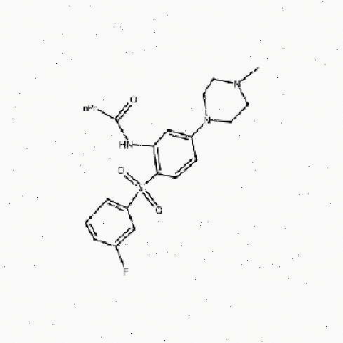 CCCC(=O)Nc1cc(N2CCN(C)CC2)ccc1S(=O)(=O)c1cccc(F)c1